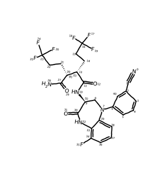 N#Cc1cccc(N2C[C@H](NC(=O)[C@@H](CCC(F)(F)F)[C@@H](CCC(F)(F)F)C(N)=O)C(=O)Nc3c(F)cccc32)c1